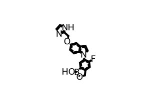 OB1OCc2cc(F)c(-n3ccc4cc(OCc5ncc[nH]5)ccc43)cc21